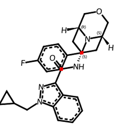 O=C(N[C@H]1C[C@H]2COC[C@@H](C1)N2Cc1ccc(F)cc1)c1nn(CC2CC2)c2ccccc12